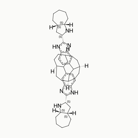 c1cc2[nH]c([C@@H]3C[C@@H]4CCCCC[C@@H]4N3)nc2cc1C1C[C@H]2CC[C@@H]1CC[C@@H]1CC[C@H](CC2)C(c2ccc3[nH]c([C@@H]4C[C@@H]5CCCCC[C@@H]5N4)nc3c2)C1